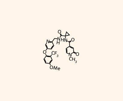 COc1ccc(Oc2ccc(CNC(=O)C3(NC(=O)c4ccn(C)c(=O)c4)CC3)nc2)c(C(F)(F)F)c1